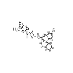 CC(C)(C)OC(=O)N[C@H]1C[C@H](COC(=O)N2CCc3ccccc3[C@@H]2c2ccc(F)cc2)C1